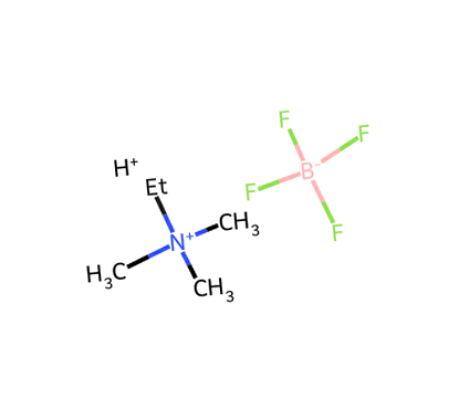 CC[N+](C)(C)C.F[B-](F)(F)F.[H+]